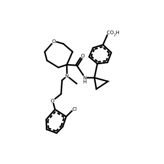 CN(CCOc1ccccc1Cl)C1(C(=O)NC2(c3ccc(C(=O)O)cc3)CC2)CCCOCC1